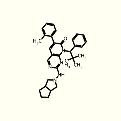 Cc1ccccc1-c1cc2cnc(NN3CC4CCCC4C3)nc2n(C(c2ccccc2)C(C)(C)C)c1=O